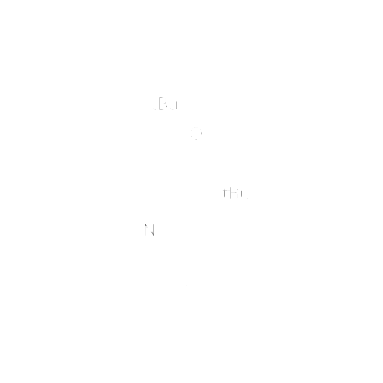 CC(C)(C)OCC(c1ccccn1)C(C)(C)C